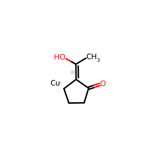 C/C(O)=C1/CCCC1=O.[Cu]